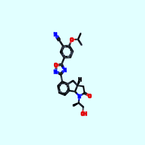 CC(C)Oc1ccc(-c2nc(-c3cccc4c3C[C@@H]3CC(=O)N([C@H](C)CO)C43)no2)cc1C#N